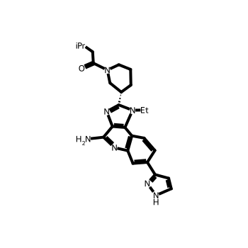 CCn1c([C@H]2CCCN(C(=O)CC(C)C)C2)nc2c(N)nc3cc(-c4cc[nH]n4)ccc3c21